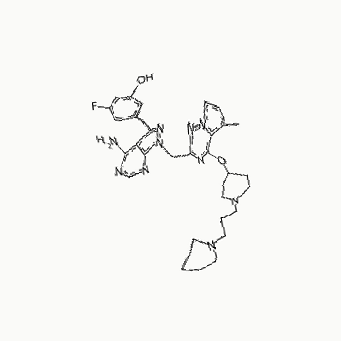 Cc1ccn2nc(Cn3nc(-c4cc(O)cc(F)c4)c4c(N)ncnc43)nc(OC3CCN(CCCN4CCCCC4)CC3)c12